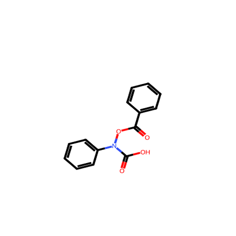 O=C(ON(C(=O)O)c1ccccc1)c1ccccc1